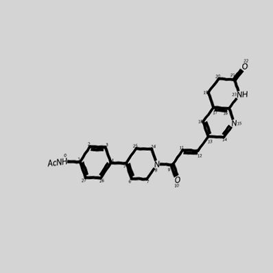 CC(=O)Nc1ccc(C2=CCN(C(=O)C=Cc3cnc4c(c3)CCC(=O)N4)CC2)cc1